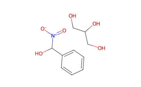 O=[N+]([O-])C(O)c1ccccc1.OCC(O)CO